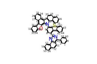 c1ccc(-c2nc(-c3ccc(-n4c5c6ccccc6ccc5c5c6ccccc6c6c7ccccc7oc6c54)c4sc5ccccc5c34)nc3c2ccc2ccccc23)cc1